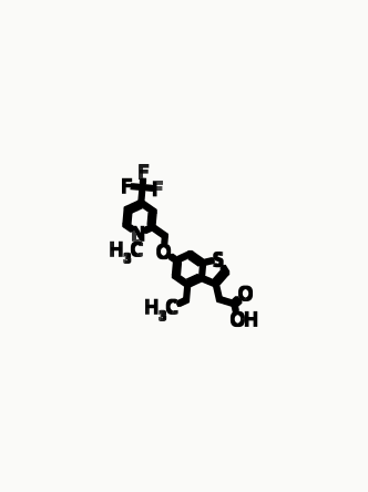 CCc1cc(OCC2=CC(C(F)(F)F)=C=CN2C)cc2scc(CC(=O)O)c12